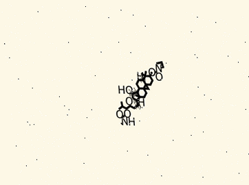 CNC(=O)OC(C(C)C)C1C[C@@H](C)[C@H]2C(O1)[C@H](O)[C@@]1(C)C3CC[C@H]4C(C)(C)C(OC(=O)N5CCC5)CCC45CC35CCC21C